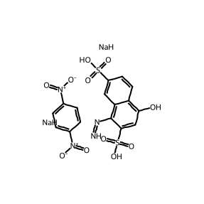 N=Nc1c(S(=O)(=O)O)cc(O)c2ccc(S(=O)(=O)O)cc12.O=[N+]([O-])c1ccc([N+](=O)[O-])cc1.[NaH].[NaH]